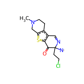 CN1CCc2c(sc3c2C=NC([N])(CCCl)C3=O)C1